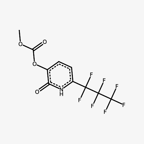 COC(=O)Oc1ccc(C(F)(F)C(F)(F)C(F)(F)F)[nH]c1=O